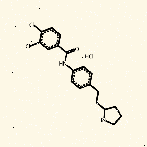 Cl.O=C(Nc1ccc(CCC2CCCN2)cc1)c1ccc(Cl)c(Cl)c1